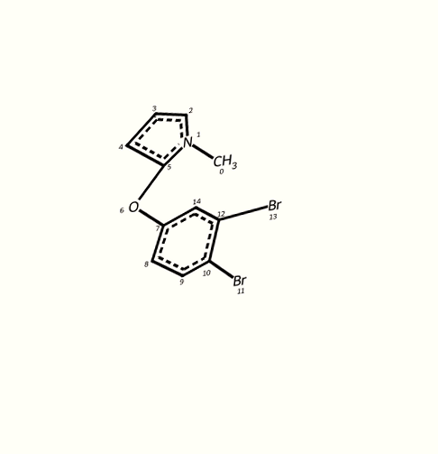 Cn1c[c]cc1Oc1ccc(Br)c(Br)c1